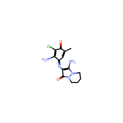 CC1=C/C(=N\c2c(N)n3n(c2=O)CCCC3)C(N)=C(Cl)C1=O